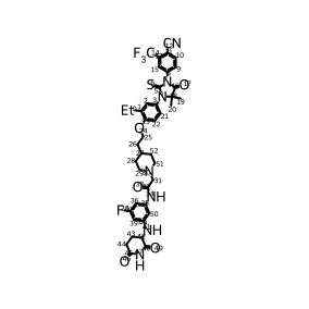 CCc1cc(N2C(=S)N(c3ccc(C#N)c(C(F)(F)F)c3)C(=O)C2(C)C)ccc1OCCC1CCN(CC(=O)Nc2cc(F)cc(NC3CCC(=O)NC3=O)c2)CC1